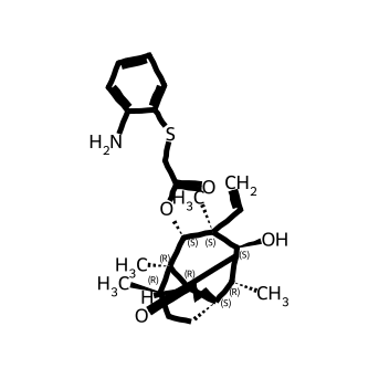 C=C[C@]1(C)[C@@H](OC(=O)CSc2ccccc2N)[C@]2(C)[C@H](C)CC[C@]3(CCC(=O)[C@H]32)[C@@H](C)[C@@H]1O